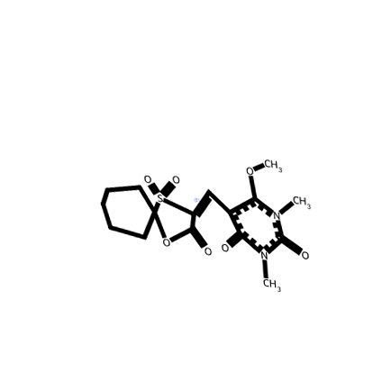 COc1c(/C=C2\C(=O)OC3(CCCCC3)S2(=O)=O)c(=O)n(C)c(=O)n1C